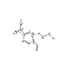 C=Cc1ccc([N+](=O)[O-])cc1CCCC